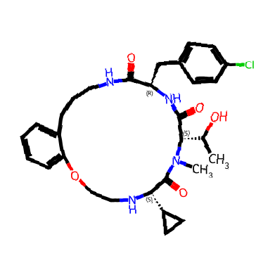 CC(O)[C@H]1C(=O)N[C@H](Cc2ccc(Cl)cc2)C(=O)NCCCc2ccccc2OCCN[C@@H](C2CC2)C(=O)N1C